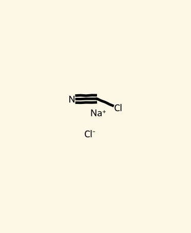 N#CCl.[Cl-].[Na+]